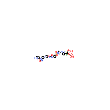 C=C1CCC(n2c(=O)n(C)c3cc(N4CCC(OCC(=O)Nc5cccc(CS(=O)(=O)N6CC[C@H](Nc7cccc(-c8sc(C(=O)O)c(OCC(=O)O)c8Cl)c7)CC6(C)C)c5)CC4)ccc32)C(=O)N1